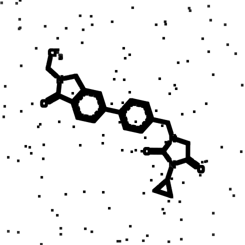 O=C1c2ccc(-c3ccc(CN4CC(=O)N(C5CC5)C4=O)cc3)cc2CN1CC(F)(F)F